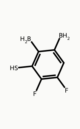 Bc1cc(F)c(F)c(S)c1B